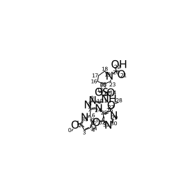 COc1cccc(-c2nnc(NS(=O)(=O)[C@@H]3CCCN(C(=O)O)C3)n2-c2c(OC)ncnc2OC)n1